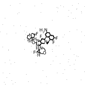 [2H]C([2H])(Oc1nc(N2CCOC[C@H]3[C@H](F)[C@H]32)c2cnc(-c3cc(N)cc4cc(F)c(F)c(C#C)c34)c(F)c2n1)[C@@]12CCCN1C[C@H](F)C2